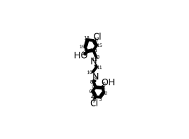 Oc1ccc(Cl)cc1/C=N/CC/N=C/c1cc(Cl)ccc1O